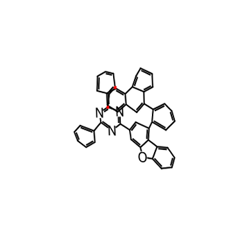 c1ccc(-c2nc(-c3ccccc3)nc(-c3cc(-c4ccccc4-c4cc5ccccc5c5ccccc45)c4c(c3)oc3ccccc34)n2)cc1